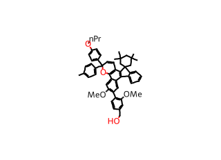 CCCOc1ccc(C2(c3ccc(C)cc3)C=Cc3c4c(c5cc(-c6ccc(CO)cc6OC)c(OC)cc5c3O2)-c2ccccc2C42CC(C)(C)CC(C)(C)C2)cc1